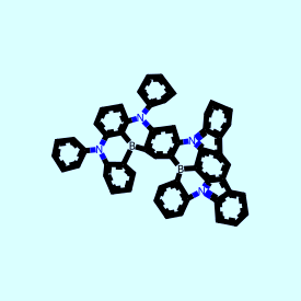 c1ccc(N2c3ccccc3B3c4cc5c(cc4N(c4ccccc4)c4cccc2c43)-n2c3ccccc3c3cc4c6ccccc6n6c4c(c32)B5c2ccccc2-6)cc1